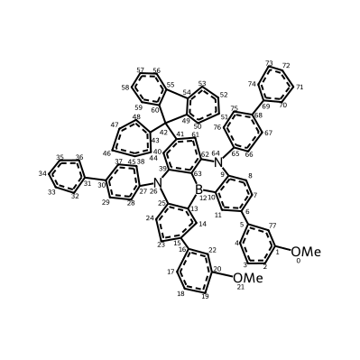 COc1cccc(-c2ccc3c(c2)B2c4cc(-c5cccc(OC)c5)ccc4N(c4ccc(-c5ccccc5)cc4)c4cc(C5(c6ccccc6)c6ccccc6-c6ccccc65)cc(c42)N3c2ccc(-c3ccccc3)cc2)c1